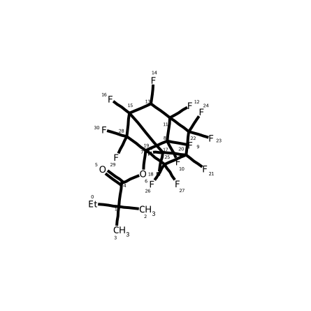 CCC(C)(C)C(=O)OC12C(F)(F)C3(F)C(F)C(F)(C(F)(F)C(F)(C3(F)F)C1(F)F)C2(F)F